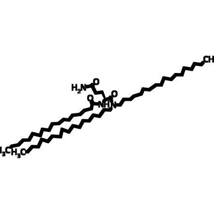 CCCCCCCCCCCCCCCCCCN(CCCCCCCCCCCCCCCCCC)C(=O)[C@H](CCC(N)=O)NC(=O)CCCCCCCCCCCCCCCCC